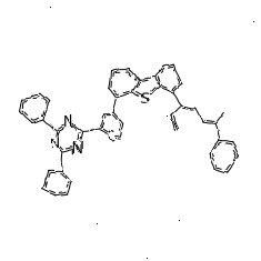 C=C/C(=C\C=C(/C)c1ccccc1)c1cccc2c1sc1c(-c3cccc(-c4nc(-c5ccccc5)nc(-c5ccccc5)n4)c3)cccc12